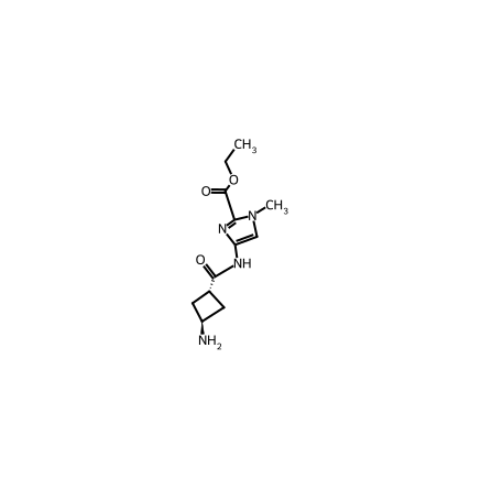 CCOC(=O)c1nc(NC(=O)[C@H]2C[C@H](N)C2)cn1C